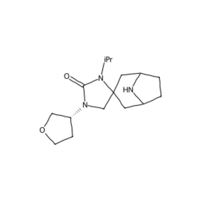 CC(C)N1C(=O)N([C@@H]2CCOC2)CC12CC1CCC(C2)N1